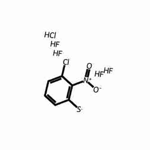 Cl.F.F.F.F.O=[N+]([O-])c1c([S])cccc1Cl